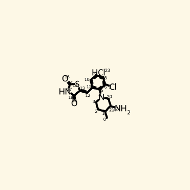 CC1CCN(c2c(Cl)cccc2/C=C2\SC(=O)NC2=O)CC1N.Cl